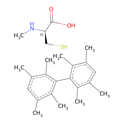 CN[C@H](CS)C(=O)O.Cc1cc(C)c(C)c(-c2c(C)c(C)cc(C)c2C)c1C